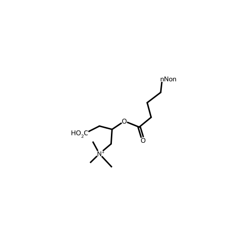 CCCCCCCCCCCCC(=O)OC(CC(=O)O)C[N+](C)(C)C